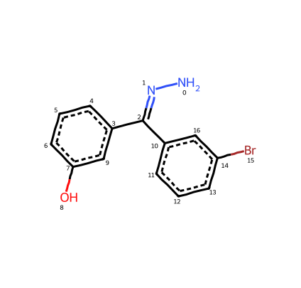 NN=C(c1cccc(O)c1)c1cccc(Br)c1